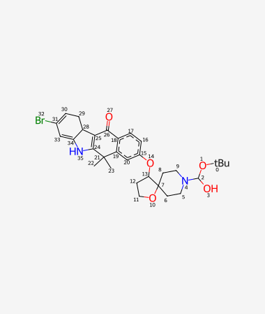 CC(C)(C)OC(O)N1CCC2(CC1)OCCC2Oc1ccc2c(c1)C(C)(C)C1=C(C2=O)C2CC=C(Br)C=C2N1